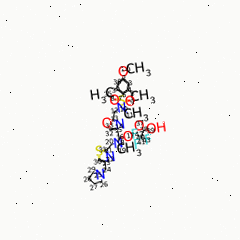 COc1cc(C)c(S(=O)(=O)N(C)Cc2nc(C(=O)N(C)Cc3nc(CN4CCCC4)cs3)co2)c(C)c1.O=C(O)C(F)(F)F